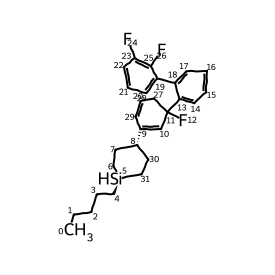 CCCCC[Si@H]1CC[C@H](C2=CC(F)(c3ccccc3-c3cccc(F)c3F)CC=C2)CC1